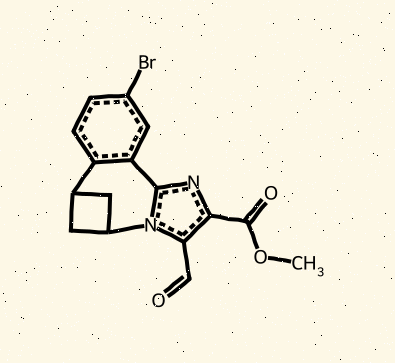 COC(=O)c1nc2n(c1C=O)C1CC(C1)c1ccc(Br)cc1-2